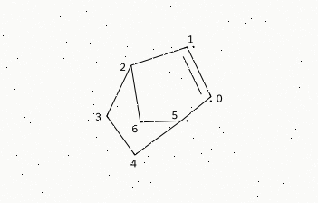 [C]1=[C]C2CC[C]1C2